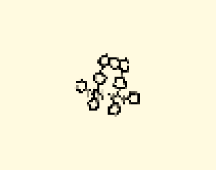 c1ccc(-n2c(-c3ccc(-c4cccc5cc6cccc(-c7ccc(-c8nc9ccccc9n8-c8ccccc8)cc7)c6cc45)cc3)nc3ccccc32)cc1